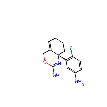 NC1=N[C@@]2(c3cc(N)ccc3F)CCCC=C2CO1